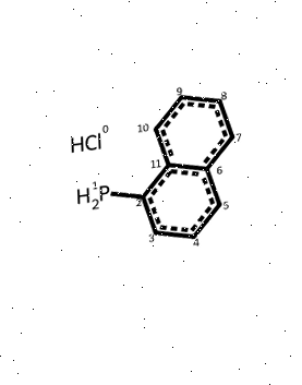 Cl.Pc1cccc2ccccc12